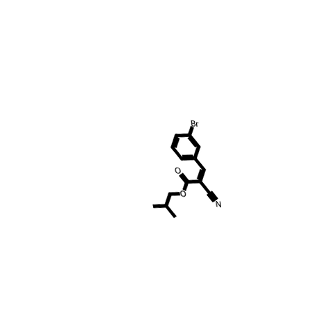 CC(C)COC(=O)C(C#N)=Cc1cccc(Br)c1